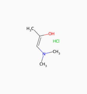 CC(O)=CN(C)C.Cl